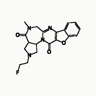 CN1Cc2nc3c(oc4ccccc43)c(=O)n2C2CN(CCF)CC2C1=O